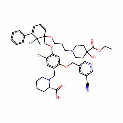 CCOC(=O)C1(O)CCN(CCCOC2(COc3cc(OCc4cncc(C#N)c4)c(CN4CCCC[C@H]4C(=O)O)cc3Cl)C=CC=C(c3ccccc3)C2(C)Cl)CC1